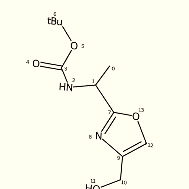 CC(NC(=O)OC(C)(C)C)c1nc(CO)co1